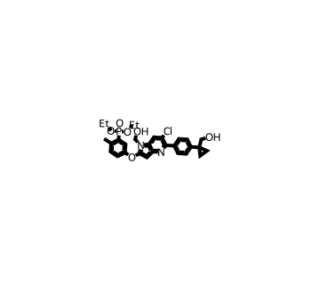 CCOP(=O)(OCC)c1cc(Oc2cc3nc(-c4ccc(C5(CO)CC5)cc4)c(Cl)cc3n2CO)ccc1C